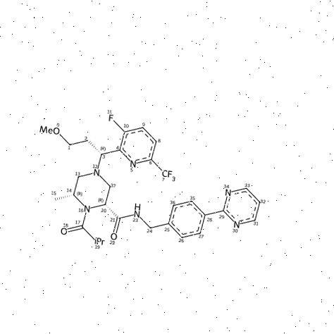 COCC[C@H](c1nc(C(F)(F)F)ccc1F)N1C[C@@H](C)N(C(=O)C(C)C)[C@@H](C(=O)NCc2ccc(-c3ncccn3)cc2)C1